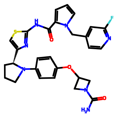 NC(=O)N1CC(Oc2ccc(N3CCC[C@@H]3c3csc(NC(=O)c4cccn4Cc4ccnc(F)c4)n3)cc2)C1